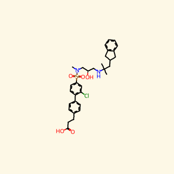 CN(C[C@H](O)CNC(C)(C)CC1Cc2ccccc2C1)S(=O)(=O)c1ccc(-c2ccc(CCC(=O)O)cc2)c(Cl)c1